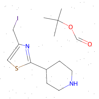 CC(C)(C)OC=O.ICc1csc(C2CCNCC2)n1